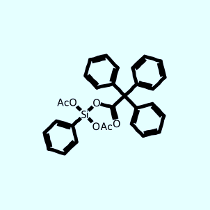 CC(=O)O[Si](OC(C)=O)(OC(=O)C(c1ccccc1)(c1ccccc1)c1ccccc1)c1ccccc1